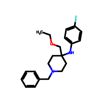 CCOCC1(Nc2ccc(F)cc2)CCN(Cc2ccccc2)CC1